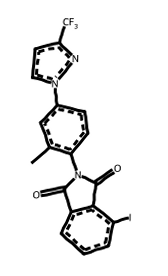 Cc1cc(-n2ccc(C(F)(F)F)n2)ccc1N1C(=O)c2cccc(I)c2C1=O